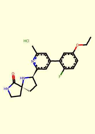 CCOc1ccc(F)c(-c2cc(C)nc([C@H]3CC[C@@]4(CCNC4=O)N3)c2)c1.Cl